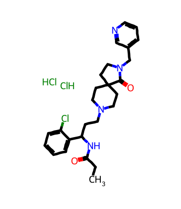 CCC(=O)NC(CCN1CCC2(CC1)CCN(Cc1cccnc1)C2=O)c1ccccc1Cl.Cl.Cl